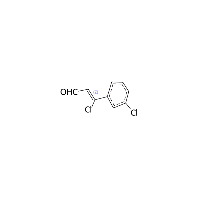 O=C/C=C(\Cl)c1cccc(Cl)c1